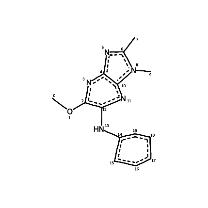 COc1nc2nc(C)n(C)c2nc1Nc1ccccc1